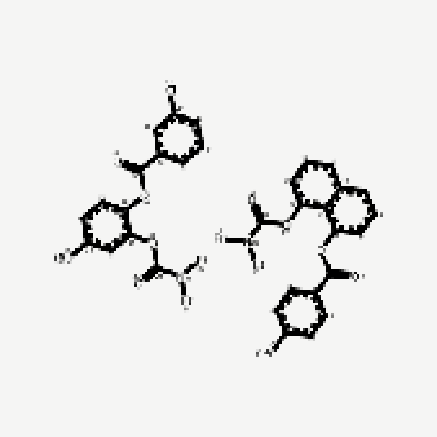 CCCc1ccc(C(=O)Oc2cccc3cccc(OC(=O)N(CC)CC)c23)cc1.CCN(CC)C(=O)Oc1cc(C(C)(C)C)ccc1OC(=O)c1cccc(Cl)c1